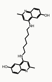 Cc1cc(NCCCCCCNc2cc(C)nc3ccc(O)cc23)c2cc(O)ccc2n1